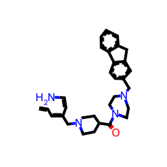 C=C/C=C(\C=C/N)CN1CCC(C(=O)N2CCN(Cc3ccc4c(c3)Cc3ccccc3-4)CC2)CC1